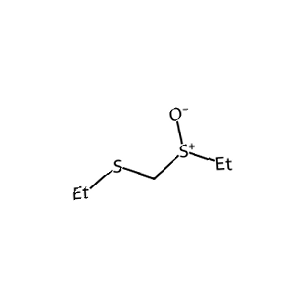 CCSC[S+]([O-])CC